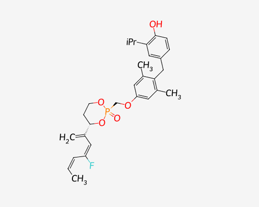 C=C(/C=C(F)\C=C/C)[C@@H]1CCO[P@@](=O)(COc2cc(C)c(Cc3ccc(O)c(C(C)C)c3)c(C)c2)O1